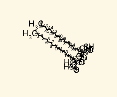 CCCCCCCCCCCCCCCCCCC(O)(CC(=O)S)C(=O)OC(=O)C(O)(CCCCCCCCCCCCCCCCCC)CC(=O)S